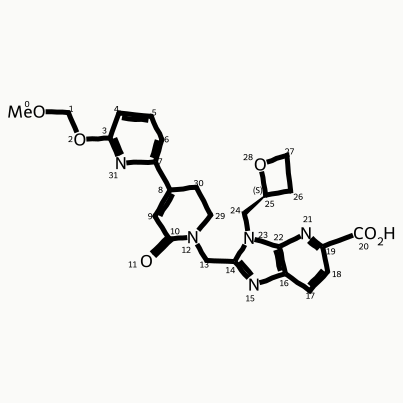 COCOc1cccc(C2=CC(=O)N(Cc3nc4ccc(C(=O)O)nc4n3C[C@@H]3CCO3)CC2)n1